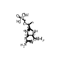 CC(OCP(=O)(O)O)c1nc2nc(N)nc(N)c2[nH]1